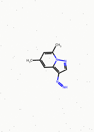 Cc1cc(C)n2ncc(N=N)c2c1